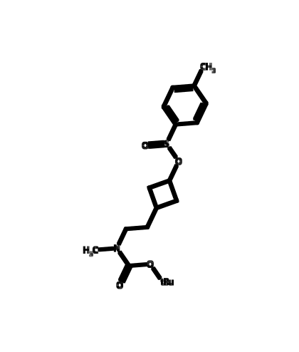 Cc1ccc(S(=O)OC2CC(CCN(C)C(=O)OC(C)(C)C)C2)cc1